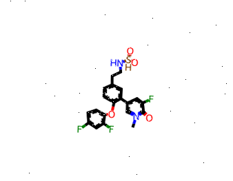 Cn1cc(-c2cc(CCN[SH](=O)=O)ccc2Oc2ccc(F)cc2F)cc(F)c1=O